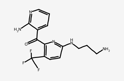 NCCCNc1ccc(C(F)(F)F)c(C(=O)c2cccnc2N)n1